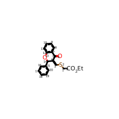 CCOC(=O)CS/C=C1\C(=O)c2ccccc2OC1c1ccccc1